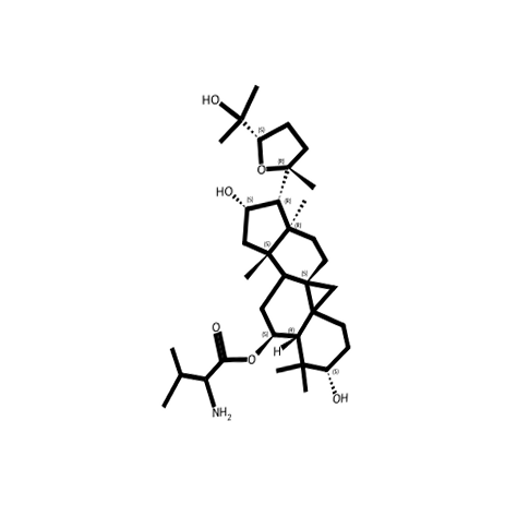 CC(C)C(N)C(=O)O[C@H]1CC2[C@]3(CC[C@]4(C)[C@@H]([C@@]5(C)CC[C@@H](C(C)(C)O)O5)[C@@H](O)C[C@@]24C)CC32CC[C@H](O)C(C)(C)[C@H]12